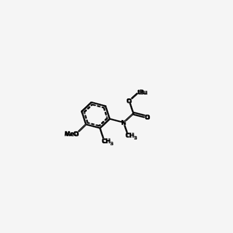 COc1cccc(N(C)C(=O)OC(C)(C)C)c1C